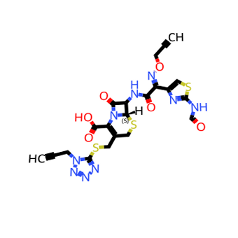 C#CCON=C(C(=O)NC1C(=O)N2C(C(=O)O)=C(CSc3nnnn3CC#C)CS[C@@H]12)c1csc(NC=O)n1